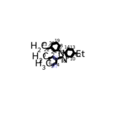 C=C/C=C(\C=C/C)c1nc2cc(CC)ccc2n1-c1cccc(C=C)c1